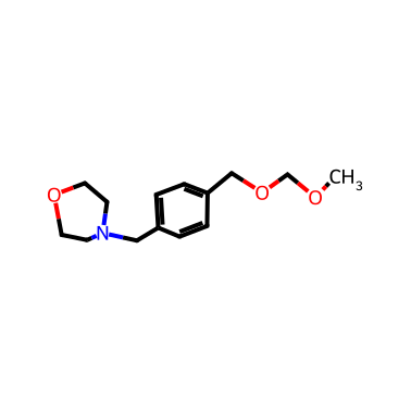 COCOCc1ccc(CN2CCOCC2)cc1